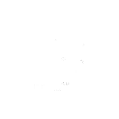 O=CNc1c(CC(=O)O)ccc2c1C1C(=O)C=NC=C1N2Cc1cc(F)cc(F)c1F